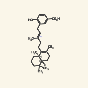 CC1=C(CC/C(C)=C/Cc2cc(C(=O)O)ccc2O)[C@]2(C)CCCC(C)(C)[C@H]2CC1